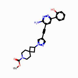 CC(C)(C)OC(=O)N1CCC2(CC1)CC(n1cc(C#Cc3cc(-c4ccccc4O)nnc3N)cn1)C2